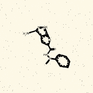 CN(NC(=O)c1cc2c(N)n[nH]c2s1)c1ccccc1